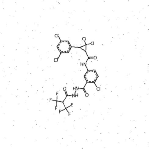 O=C(NNC(=O)C(C(F)(F)F)C(F)(F)F)c1cc(NC(=O)C2C(c3cc(Cl)cc(Cl)c3)C2(Cl)Cl)ccc1Cl